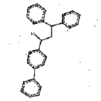 CCC(CC(c1ccccc1)c1ccccc1)c1ccc(-c2ccccc2)cc1